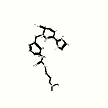 CN(C)CCCOC(=O)Nc1cccc(Cn2nc(-c3nccs3)ccc2=O)c1